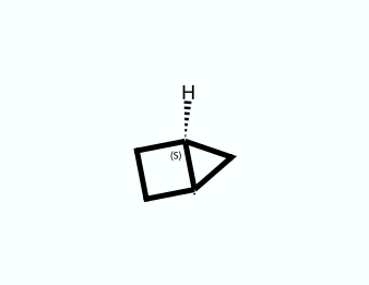 C1C[C@H]2C[C]12